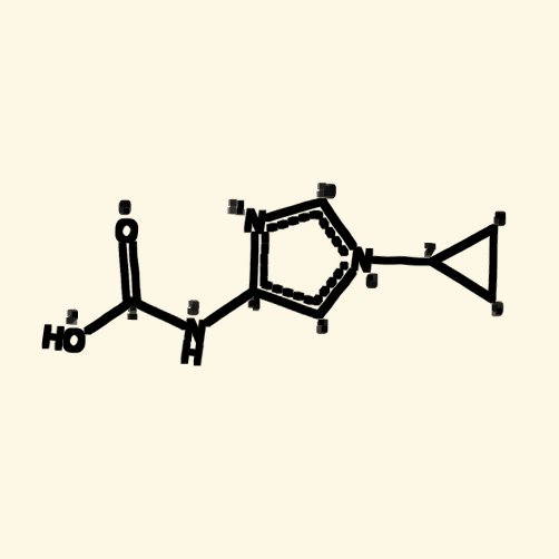 O=C(O)Nc1cn(C2CC2)cn1